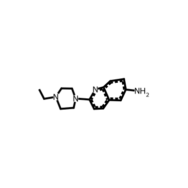 CCN1CCN(c2ccc3cc(N)ccc3n2)CC1